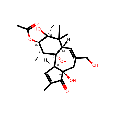 CC(=O)O[C@@H]1[C@@H](C)[C@@]2(O)[C@@H](C=C(CO)C[C@]3(O)C(=O)C(C)=C[C@@H]23)C(C)(C)[C@]1(C)O